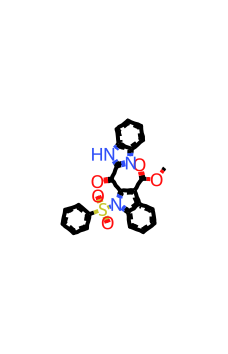 COC(=O)c1c(C(=O)c2nc3ccccc3[nH]2)n(S(=O)(=O)c2ccccc2)c2ccccc12